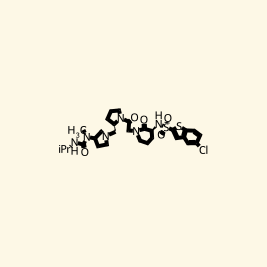 CC(C)NC(=O)N(C)C1CCN(C[C@@H]2CCCN2C(=O)CN2CCC[C@H](NS(=O)(=O)c3cc4cc(Cl)ccc4s3)C2=O)C1